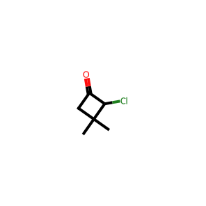 CC1(C)CC(=O)C1Cl